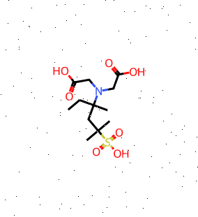 CCC(C)(CC(C)(C)S(=O)(=O)O)N(CC(=O)O)CC(=O)O